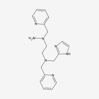 [AlH2][N](CCN(Cc1ccccn1)Cc1ncc[nH]1)Cc1ccccn1